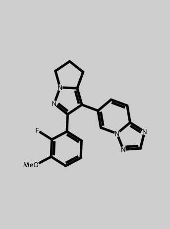 COc1cccc(-c2nn3c(c2-c2ccc4ncnn4c2)CCC3)c1F